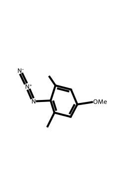 COc1cc(C)c(N=[N+]=[N-])c(C)c1